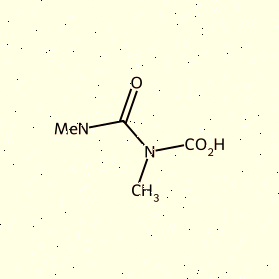 CNC(=O)N(C)C(=O)O